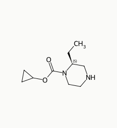 CC[C@H]1CNCCN1C(=O)OC1CC1